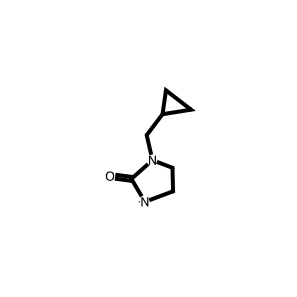 O=C1[N]CCN1CC1CC1